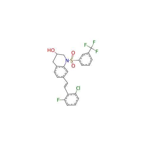 O=S(=O)(c1cccc(C(F)(F)F)c1)N1CC(O)Cc2ccc(C=Cc3c(F)cccc3Cl)cc21